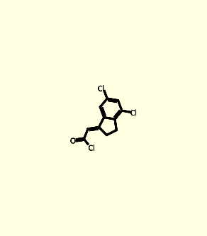 O=C(Cl)/C=C1\CCc2c(Cl)cc(Cl)cc21